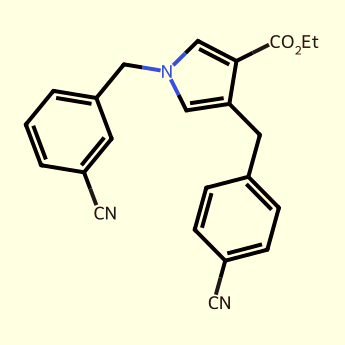 CCOC(=O)c1cn(Cc2cccc(C#N)c2)cc1Cc1ccc(C#N)cc1